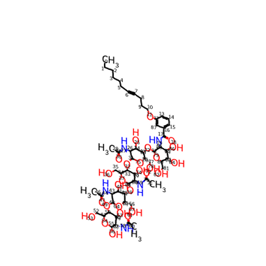 CCCCCCC#CCCCOc1cccc(C(=O)N[C@@H]2C(O[C@H]3C(O)C(NC(C)=O)C(OC4C(CO)O[C@@H](O[C@H]5C(O)C(NC(C)=O)C(OC6C(CO)OC(O)[C@@H](NC(C)=O)[C@H]6O)O[C@H]5CO)[C@@H](NC(C)=O)[C@H]4O)O[C@H]3CO)OC(CO)[C@@H](O)[C@@H]2O)c1